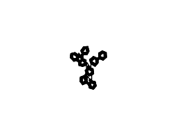 c1ccc(-c2ccc(N(c3ccc4c(c3)c3cccc5c6ccccc6n4c53)c3ccc4c5ccccc5n(-c5ccccc5)c4c3)cc2)cc1